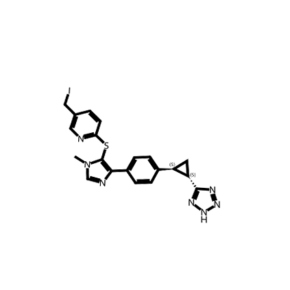 Cn1cnc(-c2ccc([C@H]3C[C@@H]3c3nn[nH]n3)cc2)c1Sc1ccc(CI)cn1